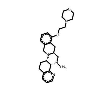 CN(C[C@@H]1Cc2c(cccc2OCCN2CCOCC2)CN1)[C@H]1CCCc2cccnc21